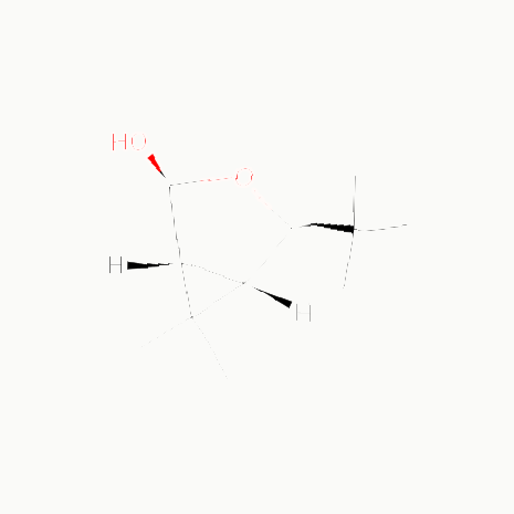 CC(C)(C)[C@@H]1O[C@H](O)[C@@H]2[C@H]1C2(C)C